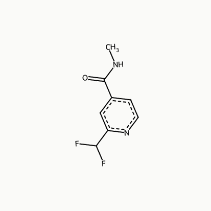 CNC(=O)c1ccnc(C(F)F)c1